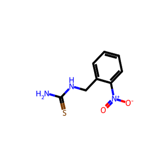 NC(=S)NCc1ccccc1[N+](=O)[O-]